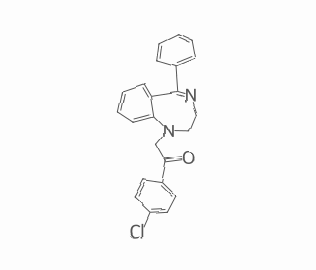 O=C(CN1CCN=C(c2ccccc2)c2ccccc21)c1ccc(Cl)cc1